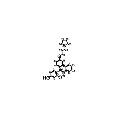 Oc1ccc2c(c1)OC[C@H](c1ccccc1)[C@@H]2c1ccc(OCCCN2CCCC2)cc1